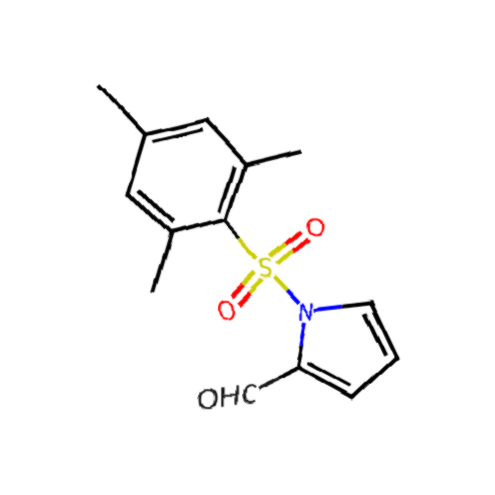 Cc1cc(C)c(S(=O)(=O)n2cccc2C=O)c(C)c1